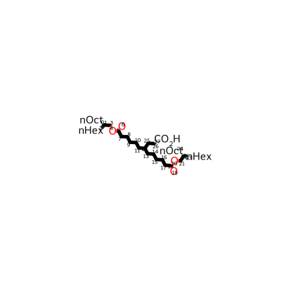 CCCCCCCCC(CCCCCC)COC(=O)CCCCCC(CCCCCC(=O)OCC(CCCCCC)CCCCCCCC)CCC(=O)O